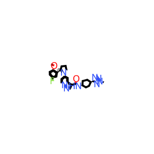 COc1ccc(F)cc1[C@H]1CCCN1c1ccn2ncc(C(=O)N[C@H]3CC[C@H](c4nnn(C)n4)CC3)c2c1